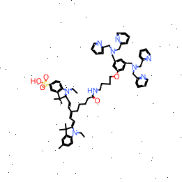 CCN1/C(=C/C=C(/C=C/C2=[N+](CC)c3ccc(S(=O)(=O)O)cc3C2(C)C)CCCCC(=O)NCCCCOc2cc(CN(Cc3ccccn3)Cc3ccccn3)cc(CN(Cc3ccccn3)Cc3ccccn3)c2)C(C)(C)c2cc(C)ccc21